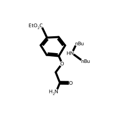 CCCCNCCCC.CCOC(=O)c1ccc(OCC(N)=O)cc1